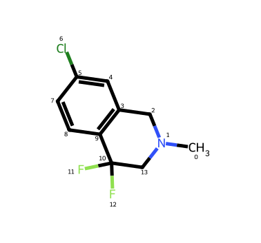 CN1Cc2cc(Cl)ccc2C(F)(F)C1